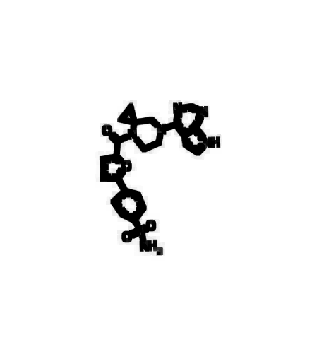 NS(=O)(=O)c1ccc(-c2ccc(C(=O)N3CCN(c4ncnc5[nH]ccc45)CC34CC4)o2)cc1